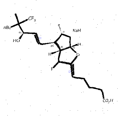 CCCCC(C)([C@H](O)/C=C/[C@@H]1[C@H]2C(F)/C(=C/CCCC(=O)O)O[C@H]2C[C@H]1C)C(F)(F)F.[NaH]